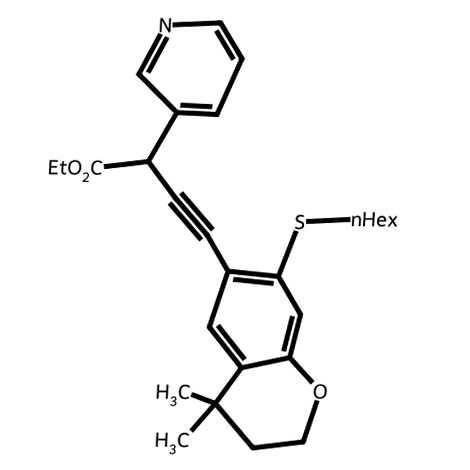 CCCCCCSc1cc2c(cc1C#CC(C(=O)OCC)c1cccnc1)C(C)(C)CCO2